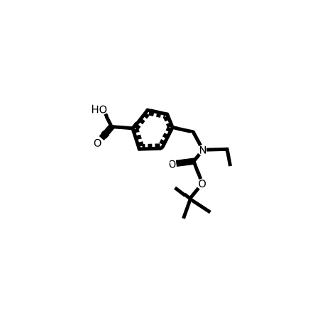 CCN(Cc1ccc(C(=O)O)cc1)C(=O)OC(C)(C)C